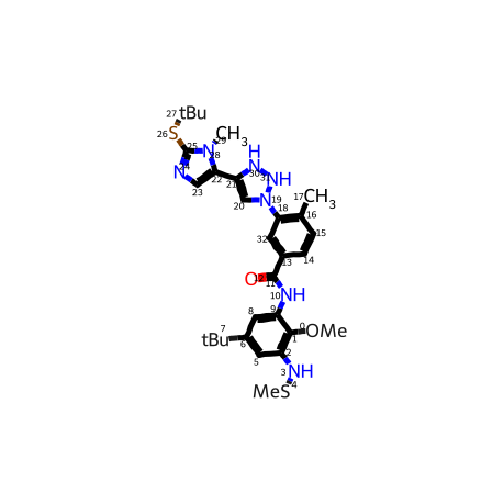 COc1c(NSC)cc(C(C)(C)C)cc1NC(=O)c1ccc(C)c(N2C=C(c3cnc(SC(C)(C)C)n3C)NN2)c1